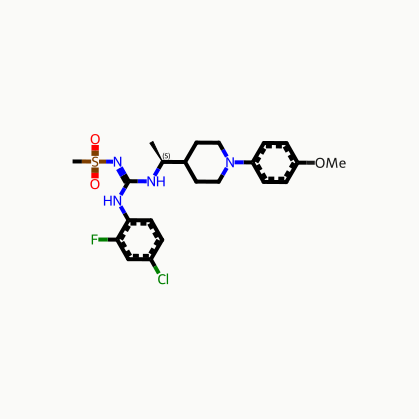 COc1ccc(N2CCC([C@H](C)NC(=NS(C)(=O)=O)Nc3ccc(Cl)cc3F)CC2)cc1